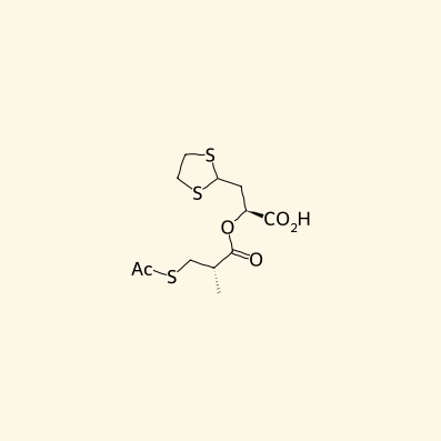 CC(=O)SC[C@@H](C)C(=O)O[C@@H](CC1SCCS1)C(=O)O